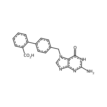 Nc1nc2ncn(Cc3ccc(-c4ccccc4C(=O)O)cc3)c2c(=O)[nH]1